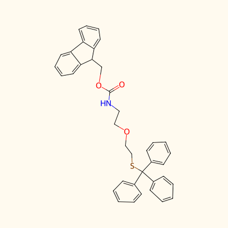 O=C(NCCOCCSC(c1ccccc1)(c1ccccc1)c1ccccc1)OCC1c2ccccc2-c2ccccc21